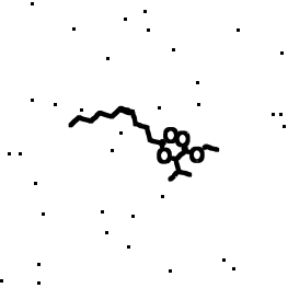 CCCCC/C=C\CCCC(=O)OC(C(=O)OCC)C(C)C